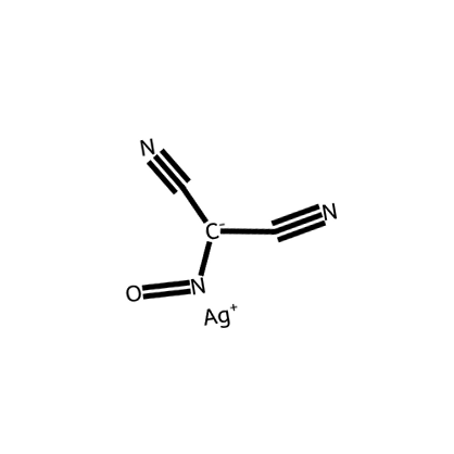 N#C[C-](C#N)N=O.[Ag+]